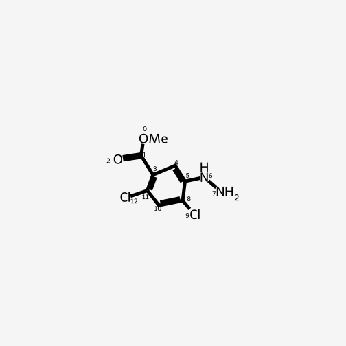 COC(=O)c1cc(NN)c(Cl)cc1Cl